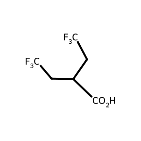 O=C(O)C(CC(F)(F)F)CC(F)(F)F